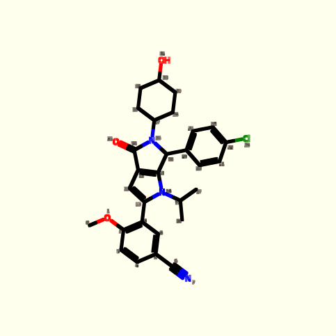 COc1ccc(C#N)cc1-c1cc2c(n1C(C)C)C(c1ccc(Cl)cc1)N(C1CCC(O)CC1)C2=O